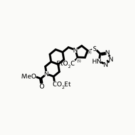 CCOC(=O)C1CC2CC(CN3C[C@H](Sc4nnn[nH]4)C[C@H]3C(=O)OCC)CCC2CN1C(=O)OC